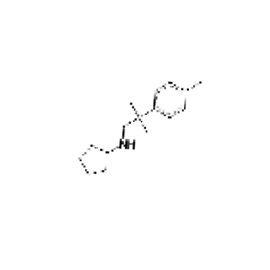 Cc1ccc(C(C)(C)CNC2CCCC2)cc1